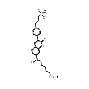 CCN(CCCCCC(=O)O)c1ccc2cc(-c3cc[n+](CCCS(=O)(=O)[O-])cc3)c(=O)oc2c1